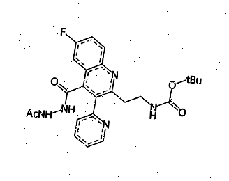 CC(=O)NNC(=O)c1c(-c2ccccn2)c(CCNC(=O)OC(C)(C)C)nc2ccc(F)cc12